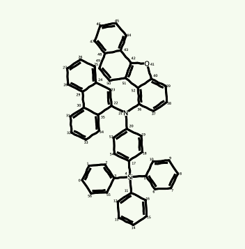 c1ccc([Si](c2ccccc2)(c2ccccc2)c2ccc(N(c3cc4ccccc4c4ccccc34)c3cccc4oc5c6ccccc6ccc5c34)cc2)cc1